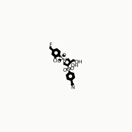 N#Cc1ccc(S(=O)(=O)[C@H]2CN(S(=O)(=O)c3ccc(CF)cc3Cl)C[C@@]2(O)CO)cc1